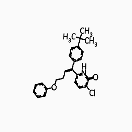 CC(C)(C)c1ccc(C(=CCCOc2ccccc2)c2ccc(Cl)c(=O)[nH]2)cc1